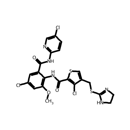 COc1cc(Cl)cc(C(=O)Nc2ccc(Cl)cn2)c1NC(=O)c1scc(CSC2=NCCN2)c1Cl